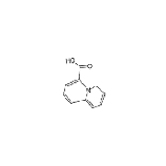 O=C(O)C1=CC=CC2=CC=CCN21